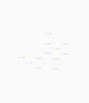 CCC(=O)Nc1cc(-c2nc(-c3ccccc3-c3ccccn3)c3ccccc3n2)ncn1